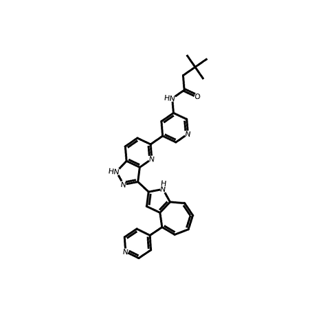 CC(C)(C)CC(=O)Nc1cncc(-c2ccc3[nH]nc(-c4cc5c([nH]4)C=C=CC=C5c4ccncc4)c3n2)c1